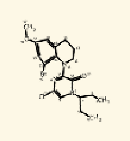 CCC(CC)n1cc(Cl)nc(N2CCCc3cc(OC)cc(Br)c32)c1=O